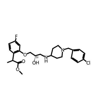 COC(=O)C(C)c1ccc(F)cc1OC[C@@H](O)CNC1CCN(Cc2ccc(Cl)cc2)CC1